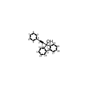 OC1(C#Cc2ccccc2)c2ccccc2-c2ccccc21